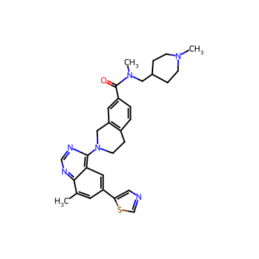 Cc1cc(-c2cncs2)cc2c(N3CCc4ccc(C(=O)N(C)CC5CCN(C)CC5)cc4C3)ncnc12